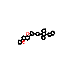 c1ccc2cc(-c3c4ccccc4c(-c4ccc(-c5ccc6oc7c(ccc8c7ccc7c9ccccc9oc78)c6c5)cc4)c4ccccc34)ccc2c1